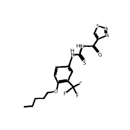 CCCCCOc1ccc(NC(=S)NC(=O)c2csnn2)cc1C(F)(F)F